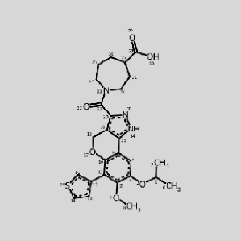 COc1c(OC(C)C)cc2c(c1-c1ccsc1)OCc1c(C(=O)N3CCCC(C(=O)O)CC3)n[nH]c1-2